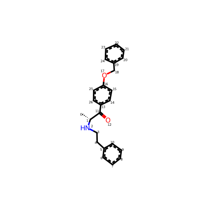 C[C@@H](NCCc1ccccc1)C(=O)c1ccc(OCc2ccccc2)cc1